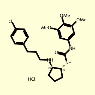 COc1cc(NC(=O)N[C@@H]2CCC[C@H]2NCCCc2ccc(Cl)cc2)cc(OC)c1OC.Cl